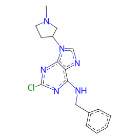 CN1CCC(n2cnc3c(NCc4ccccc4)nc(Cl)nc32)C1